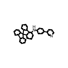 c1cncc(-c2ccc(Nc3cccc4c3-c3ccccc3C43c4ccccc4-c4ccccc43)cc2)c1